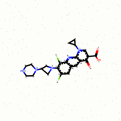 O=C(O)c1cn(C2CC2)c2nc3c(F)c(N4CC(N5CCNCC5)C4)c(F)cc3cc2c1=O